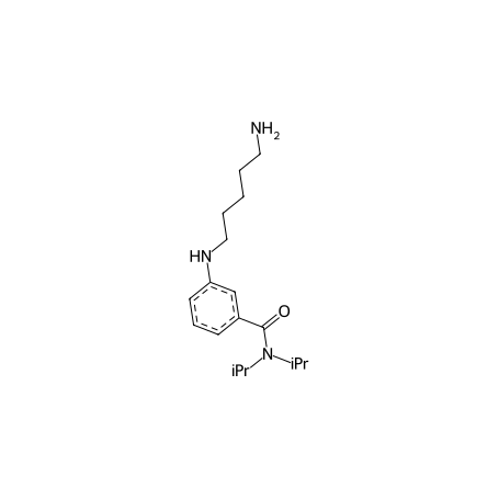 CC(C)N(C(=O)c1cccc(NCCCCCN)c1)C(C)C